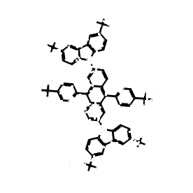 CC(C)(C)c1ccc(-c2c3ccc(-n4c5ccc(C(C)(C)C)cc5c5cc(C(C)(C)C)ccc54)cc3c(-c3ccc(C(C)(C)C)cn3)c3ccc(-n4c5ccc(C(C)(C)C)cc5c5cc(C(C)(C)C)ccc54)cc23)nc1